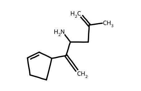 C=C(C)CC(N)C(=C)C1C=CCC1